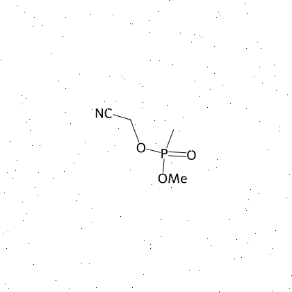 COP(C)(=O)OCC#N